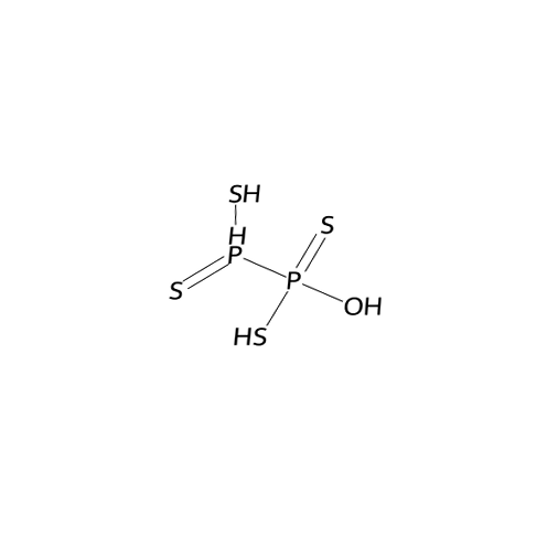 OP(=S)(S)[PH](=S)S